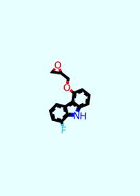 Fc1cccc2c1[nH]c1cccc(OCC3CO3)c12